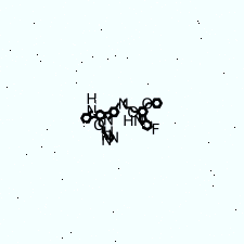 CN(CCOc1cc(Oc2ccccc2)cc2c1[nH]c1ccc(F)cc12)Cc1ccc2[nH]c3c(OCCn4cncn4)c4c(cc3c2c1)[nH]c1ccccc14